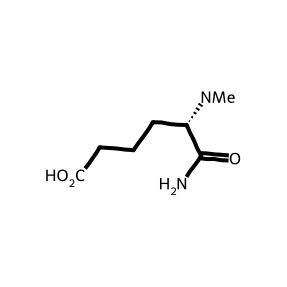 CN[C@@H](CCCC(=O)O)C(N)=O